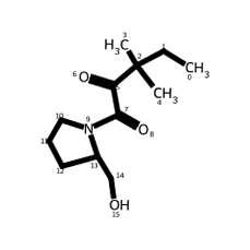 CCC(C)(C)C(=O)C(=O)N1CCCC1CO